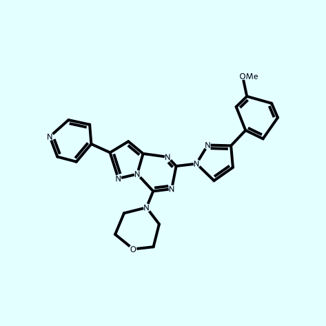 COc1cccc(-c2ccn(-c3nc(N4CCOCC4)n4nc(-c5ccncc5)cc4n3)n2)c1